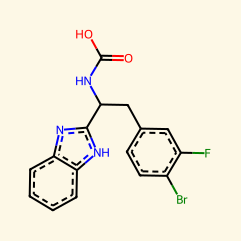 O=C(O)NC(Cc1ccc(Br)c(F)c1)c1nc2ccccc2[nH]1